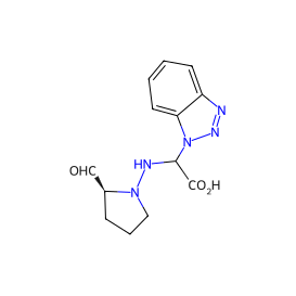 O=C[C@@H]1CCCN1NC(C(=O)O)n1nnc2ccccc21